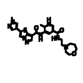 CC1NC=C(C(=O)NCCN2CCCOCC2)C=C1NC(=O)c1cnn2cc(-c3cnn(C)c3)sc12